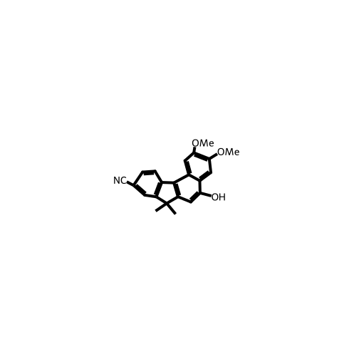 COc1cc2c(O)cc3c(c2cc1OC)-c1ccc(C#N)cc1C3(C)C